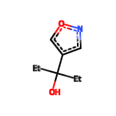 CCC(O)(CC)c1cnoc1